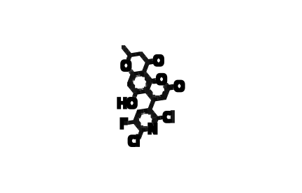 CC1CC(=O)c2c(cc(O)c3c(-c4cc(F)c(Cl)nc4Cl)cc(=O)oc23)O1